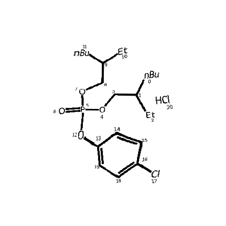 CCCCC(CC)COP(=O)(OCC(CC)CCCC)Oc1ccc(Cl)cc1.Cl